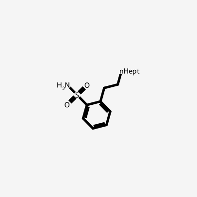 CCCCCCCCCc1ccccc1S(N)(=O)=O